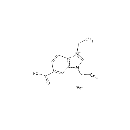 CCn1c[n+](CC)c2ccc(C(=O)O)cc21.[Br-]